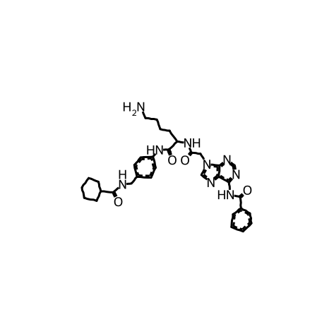 NCCCCC(NC(=O)Cn1cnc2c(NC(=O)c3ccccc3)ncnc21)C(=O)Nc1ccc(CNC(=O)C2CCCCC2)cc1